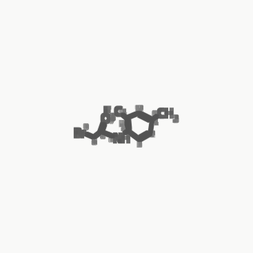 Cc1ccc(NC(=O)CBr)c(C(F)(F)F)c1